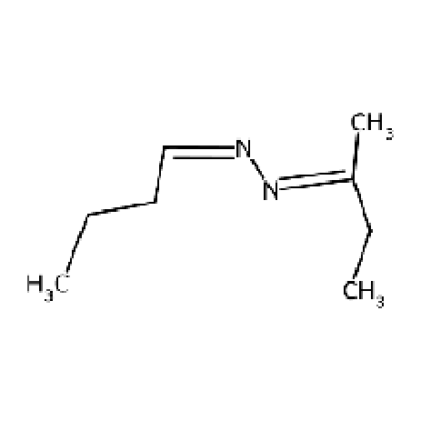 CCC/C=N\N=C(/C)CC